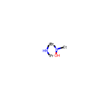 CC(C)NC(C)C.CCN(O)CC